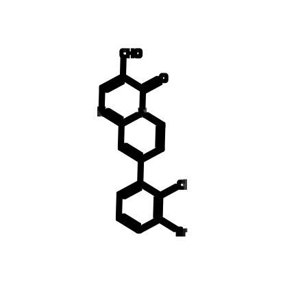 O=Cc1cnc2cc(-c3cccc(Br)c3Cl)ccn2c1=O